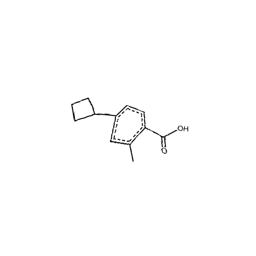 Cc1cc(C2CCC2)ccc1C(=O)O